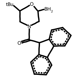 BC1CN(C(=O)C2c3ccccc3-c3ccccc32)CC(C(C)(C)C)O1